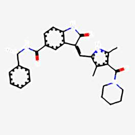 Cc1[nH]c(/C=C2\C(=O)Nc3ccc(C(=O)N[C@@H](C)c4ccccc4)cc32)c(C)c1C(=O)N1CCCCC1